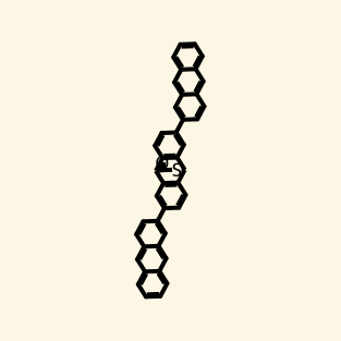 O=C1SC2c3cc(-c4ccc5cc6ccccc6cc5c4)ccc3C1c1cc(-c3ccc4cc5ccccc5cc4c3)ccc12